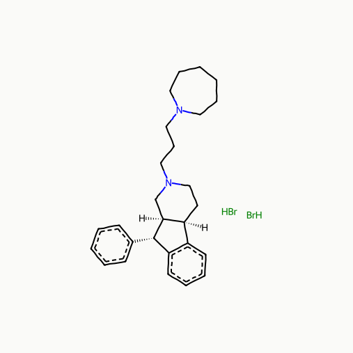 Br.Br.c1ccc([C@H]2c3ccccc3[C@@H]3CCN(CCCN4CCCCCC4)C[C@H]23)cc1